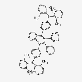 Cc1cccc(C)c1B(c1ccc(-c2c(-c3ccccc3)c(-c3ccccc3)c(-c3ccc(B(c4c(C)cccc4C)c4c(C)cccc4C)cc3)c3ccccc23)cc1)c1c(C)cccc1C